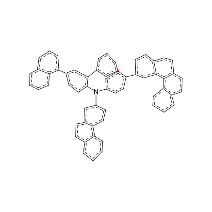 c1ccc(-c2cc(-c3cccc4ccccc34)ccc2N(c2ccc(-c3ccc4ccc5ccc6ccccc6c5c4c3)cc2)c2ccc3c(ccc4ccccc43)c2)cc1